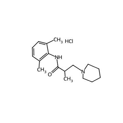 Cc1cccc(C)c1NC(=O)C(C)CN1CCCCC1.Cl